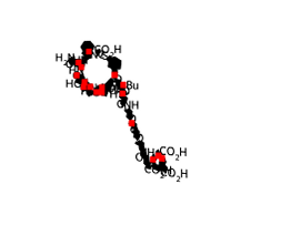 CCCC[C@H](NC(=O)CCC(=O)NCCCOCCOCCOCCCNC(=O)CCC(C(=O)O)N1CCN(CC(=O)O)CCN(CC(=O)O)CC1)C(=O)N[C@H]1CSCc2cccc(c2)CSCC(C(=O)O)NC(=O)[C@H](Cc2ccccc2)NC(=O)[C@H](CCC(N)=O)NC(=O)[C@H]([C@@H](C)O)NC(=O)[C@@H]2CCCN2C(=O)[C@@H]2CCCN2C1=O